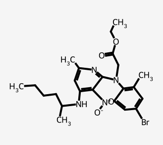 CCCCC(C)Nc1cc(C)nc(N(CC(=O)OCC)c2ccc(Br)cc2C)c1[N+](=O)[O-]